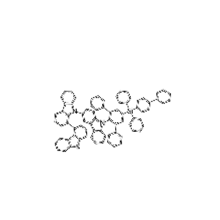 c1ccc(-c2ccc([Si](c3ccccc3)(c3ccccc3)c3cc(-c4ccccc4)c(-n4c5ccccc5c5cc(-n6c7ccccc7c7cccc(-c8cccc9sc%10ccccc%10c89)c76)ccc54)c(-c4ccccc4)c3)cc2)cc1